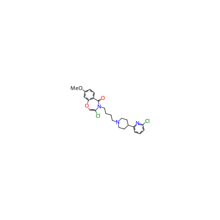 COc1ccc2c(c1)OC=C(Cl)N(CCCCN1CCC(c3cccc(Cl)n3)CC1)C2=O